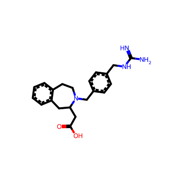 N=C(N)NCc1ccc(CN2CCc3ccccc3CC2CC(=O)O)cc1